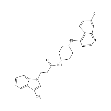 Cc1cn(CCC(=O)N[C@H]2CC[C@@H](Nc3ccnc4cc(Cl)ccc34)CC2)c2ccccc12